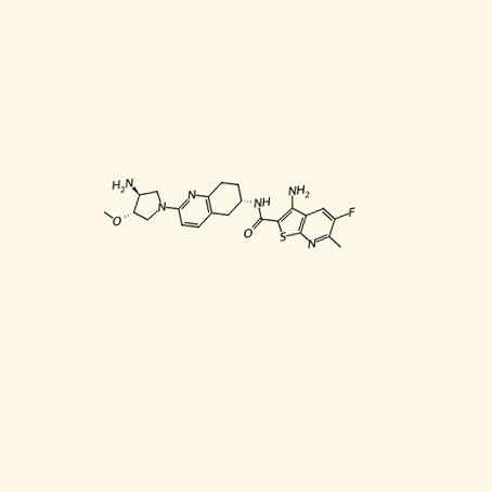 CO[C@H]1CN(c2ccc3c(n2)CC[C@H](NC(=O)c2sc4nc(C)c(F)cc4c2N)C3)C[C@@H]1N